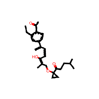 C=C(/C=C\C(O)=C(\C)COC1(C(=O)CCC(C)C)CC1)c1ccc(C(C)=O)c(CC)c1